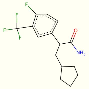 NC(=O)C(CC1CCCC1)c1ccc(F)c(C(F)(F)F)c1